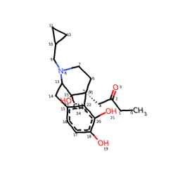 CCC(=O)C[C@]12CCN(CC3CC3)C(Cc3ccc(O)c(O)c31)C2(C)O